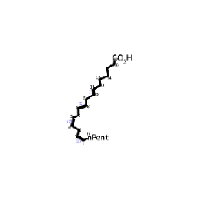 CCCCC/C=C\C/C=C\C/C=C/C/C=C/CCCCCC(=O)O